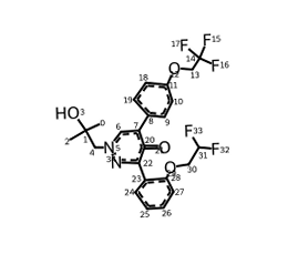 CC(C)(O)Cn1cc(-c2ccc(OCC(F)(F)F)cc2)c(=O)c(-c2ccccc2OCC(F)F)n1